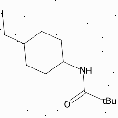 CC(C)(C)C(=O)NC1CCC(CI)CC1